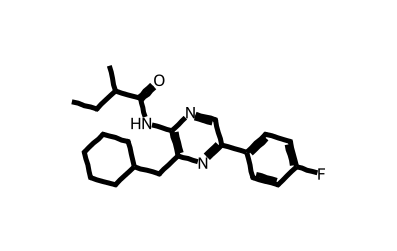 CCC(C)C(=O)Nc1ncc(-c2ccc(F)cc2)nc1CC1CCCCC1